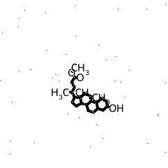 COC(=O)CCC(C)C1CCC2C3CCC4CC(O)CCC4(C)C3CCC12C